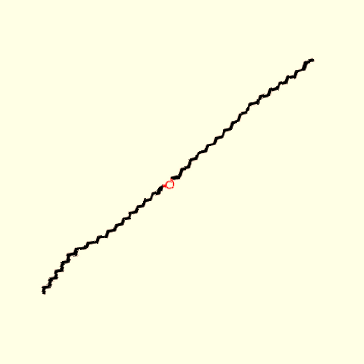 CCCCCCCCCCCCCCCCCCCCCCCCCCCCCCC=COC=CCCCCCCCCCCCCCCCCCCCCCCCCCCCCCC